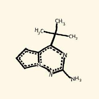 CC(C)(C)c1nc(N)nn2cccc12